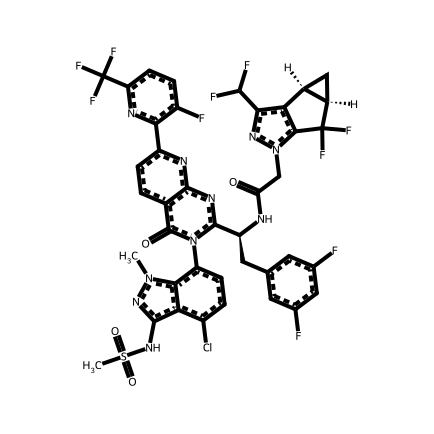 Cn1nc(NS(C)(=O)=O)c2c(Cl)ccc(-n3c([C@H](Cc4cc(F)cc(F)c4)NC(=O)Cn4nc(C(F)F)c5c4C(F)(F)[C@@H]4C[C@H]54)nc4nc(-c5nc(C(F)(F)F)ccc5F)ccc4c3=O)c21